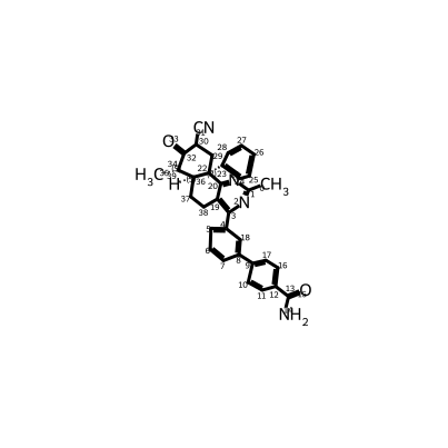 Cc1nc(-c2cccc(-c3ccc(C(N)=O)cc3)c2)c2c(n1)[C@]1(c3ccccc3)CC(C#N)C(=O)[C@@H](C)[C@@H]1CC2